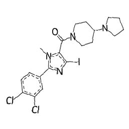 Cn1c(-c2ccc(Cl)c(Cl)c2)nc(I)c1C(=O)N1CCC(N2CCCC2)CC1